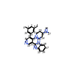 Cc1cc(C)cc(-c2cncc(-c3nc4ccccc4[nH]3)c2N2CCC(N(C)C)CC2)c1